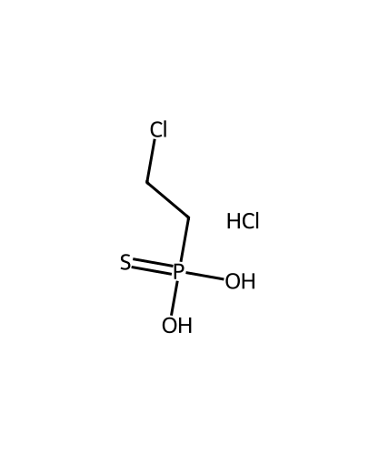 Cl.OP(O)(=S)CCCl